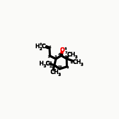 C=CCC1C(=O)C(C)(C)CCC1(C)C